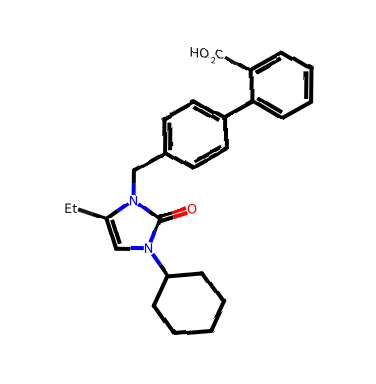 CCc1cn(C2CCCCC2)c(=O)n1Cc1ccc(-c2ccccc2C(=O)O)cc1